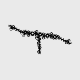 C=CC(=O)OCCCCCCOc1ccc(OC(=O)C2CCC(C(=O)Oc3ccc(OC(=O)C4CCC(C(=O)Oc5ccc(OCCCCCCOC(=O)C=C)c(C)c5)CC4)c(C(=O)OCCOCCOCCOC)c3)CC2)cc1